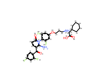 Nc1c(C(=O)c2ccc(F)cc2F)ccc(=O)n1-c1c(F)cc(OCCCN[C@H](C(=O)O)C2CCCCC2)cc1F